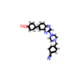 N#Cc1ccc(CN2CCN(c3cnc4ccc(-c5ccc(O)cc5)cc4n3)CC2)cc1